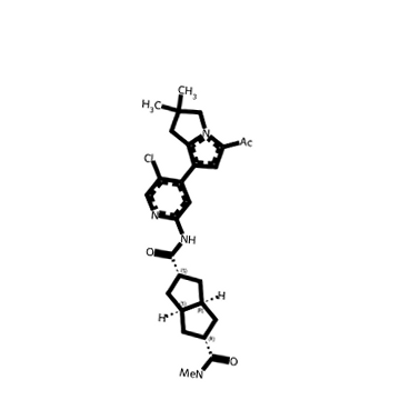 CNC(=O)[C@H]1C[C@@H]2C[C@@H](C(=O)Nc3cc(-c4cc(C(C)=O)n5c4CC(C)(C)C5)c(Cl)cn3)C[C@@H]2C1